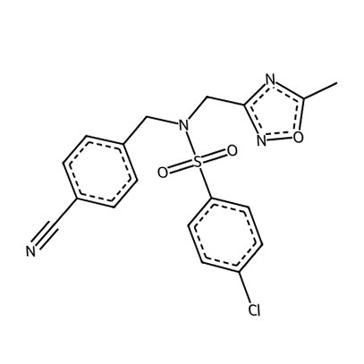 Cc1nc(CN(Cc2ccc(C#N)cc2)S(=O)(=O)c2ccc(Cl)cc2)no1